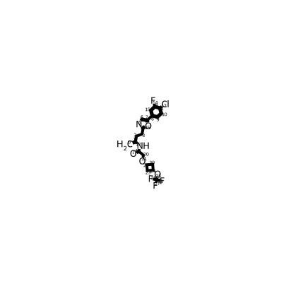 C=C(CCc1ncc(-c2ccc(Cl)c(F)c2)o1)NC(=O)CO[C@H]1C[C@@H](OC(F)(F)F)C1